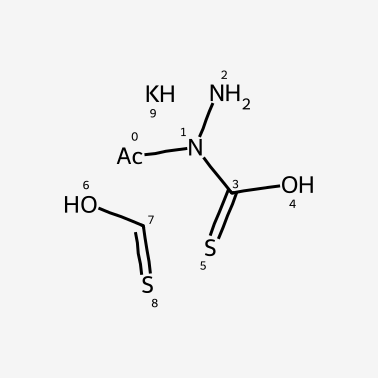 CC(=O)N(N)C(O)=S.OC=S.[KH]